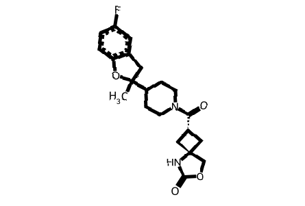 CC1(C2CCN(C(=O)[C@H]3C[C@]4(COC(=O)N4)C3)CC2)Cc2cc(F)ccc2O1